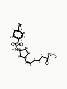 NC(=O)CCC/C=C\C1CCC(NS(=O)(=O)c2ccc(Br)cc2)C1